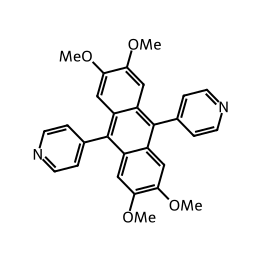 COc1cc2c(-c3ccncc3)c3cc(OC)c(OC)cc3c(-c3ccncc3)c2cc1OC